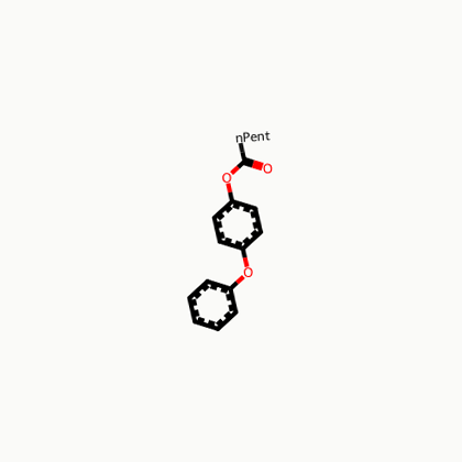 CCCCCC(=O)Oc1ccc(Oc2ccccc2)cc1